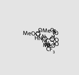 COC(=O)c1cc(-c2cnc(Nc3cc(OC)cc(OC)c3)nc2-n2ccc(C(F)(F)F)n2)cn(CCS(C)(=O)=O)c1=O